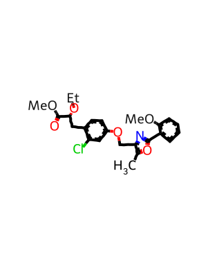 CCOC(Cc1ccc(OCc2nc(-c3ccccc3OC)oc2C)cc1Cl)C(=O)OC